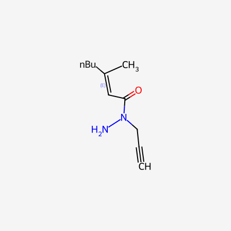 C#CCN(N)C(=O)/C=C(\C)CCCC